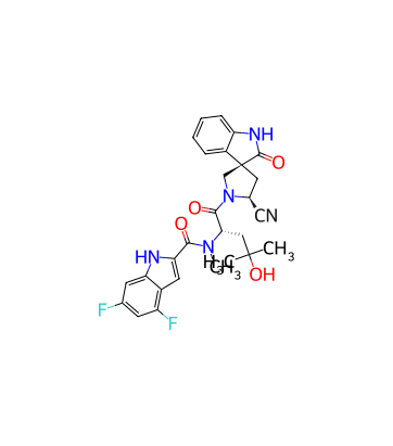 CN(C(=O)c1cc2c(F)cc(F)cc2[nH]1)[C@@H](CC(C)(C)O)C(=O)N1C[C@]2(C[C@H]1C#N)C(=O)Nc1ccccc12